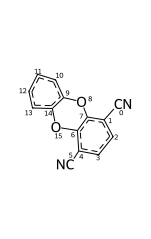 N#Cc1ccc(C#N)c2c1Oc1ccccc1O2